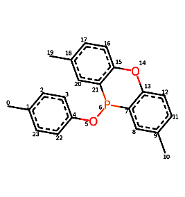 Cc1ccc(OP2c3cc(C)ccc3Oc3ccc(C)cc32)cc1